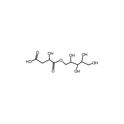 O=C(O)CC(O)C(=O)OCC(O)C(O)C(O)CO